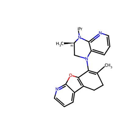 CC1=C(N2C[C@@H](C)N(C(C)C)c3ncccc32)c2oc3ncccc3c2CC1